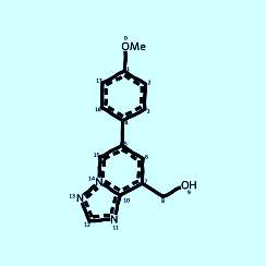 COc1ccc(-c2cc(CO)c3ncnn3c2)cc1